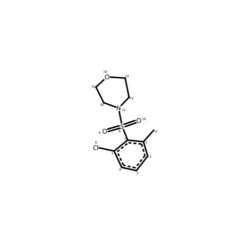 Cc1cccc(Cl)c1S(=O)(=O)N1CCOCC1